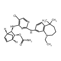 CCN1CCCC(C)(C)c2ccc(Nc3ncc(Cl)c(N[C@H]4[C@@H](OC(N)=O)[C@@H]5C=C[C@H]4C5)n3)cc21